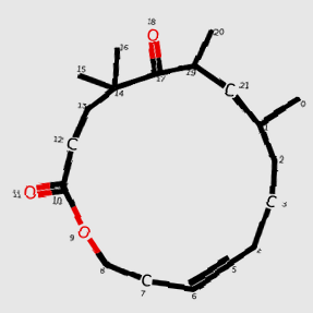 CC1CCCC=CCCOC(=O)CCC(C)(C)C(=O)C(C)C1